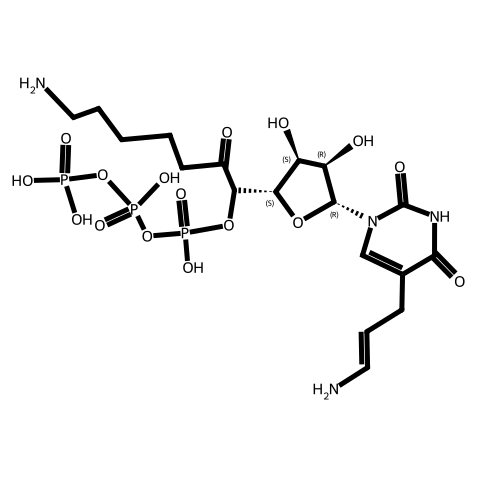 NC=CCc1cn([C@@H]2O[C@H](C(OP(=O)(O)OP(=O)(O)OP(=O)(O)O)C(=O)CCCCCN)[C@@H](O)[C@H]2O)c(=O)[nH]c1=O